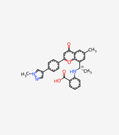 Cc1cc([C@H](C)Nc2ccccc2C(=O)O)c2oc(-c3ccc(-c4cnn(C)c4)cc3)cc(=O)c2c1